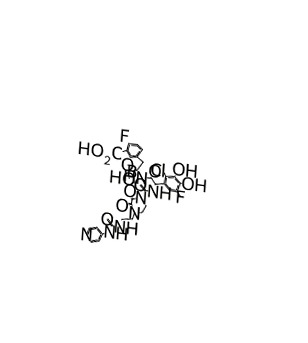 O=C(NCCN1CCN(C(=O)N[C@@H](C(=O)N[C@H]2Cc3ccc(F)c(C(=O)O)c3OB2O)c2cc(F)c(O)c(O)c2Cl)C(=O)C1=O)Nc1ccncc1